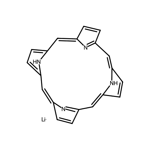 C1=Cc2cc3ccc(cc4nc(cc5ccc(cc1n2)[nH]5)C=C4)[nH]3.[Li]